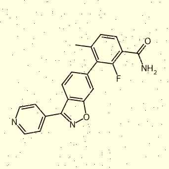 Cc1ccc(C(N)=O)c(F)c1-c1ccc2c(-c3ccncc3)noc2c1